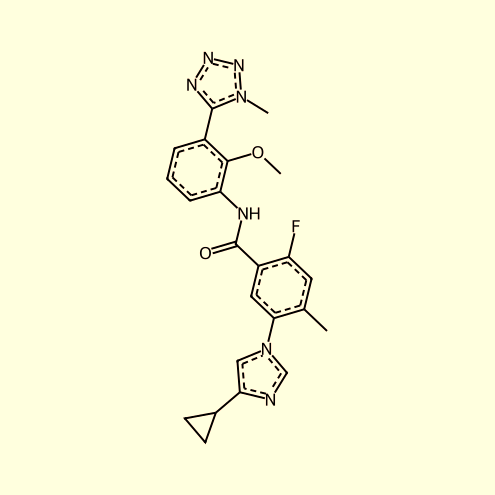 COc1c(NC(=O)c2cc(-n3cnc(C4CC4)c3)c(C)cc2F)cccc1-c1nnnn1C